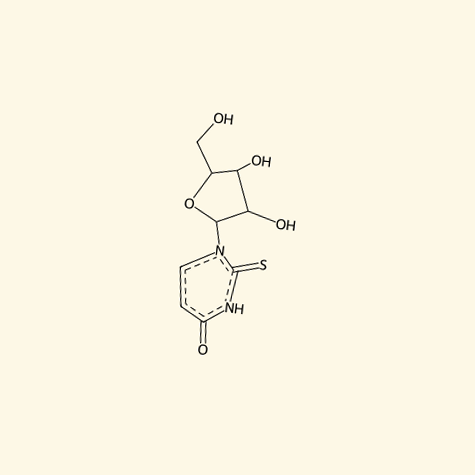 O=c1ccn(C2OC(CO)C(O)C2O)c(=S)[nH]1